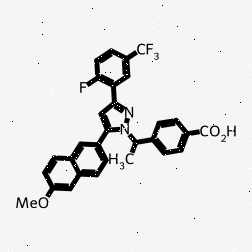 COc1ccc2cc(-c3cc(-c4cc(C(F)(F)F)ccc4F)nn3C(C)c3ccc(C(=O)O)cc3)ccc2c1